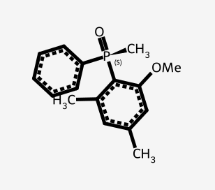 COc1cc(C)cc(C)c1[P@@](C)(=O)c1ccccc1